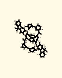 Cc1ccc2cc1N(c1cc3c(cc1C)C(C)(C)c1ccccc1-3)c1cc3c4ccc5c(cc(c6ccc1c4c65)C(C)c1cccc-2c1)N(c1cc2c(cc1C)C(C)(C)c1ccccc1-2)c1cc(ccc1C)-c1cccc(c1)C3C